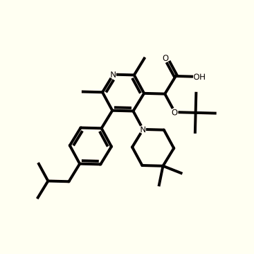 Cc1nc(C)c(C(OC(C)(C)C)C(=O)O)c(N2CCC(C)(C)CC2)c1-c1ccc(CC(C)C)cc1